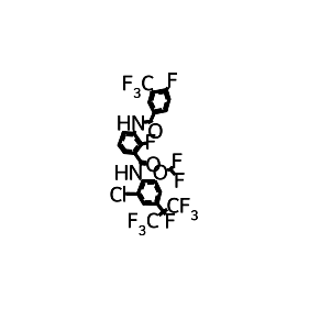 O=C(Nc1cccc(C(=O)Nc2c(Cl)cc(C(F)(C(F)(F)F)C(F)(F)F)cc2OC(F)F)c1F)c1ccc(F)c(C(F)(F)F)c1